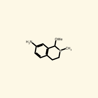 COC1c2cc(N)ccc2CCN1C